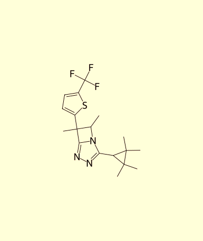 CC1n2c(C3C(C)(C)C3(C)C)nnc2C1(C)c1ccc(C(F)(F)F)s1